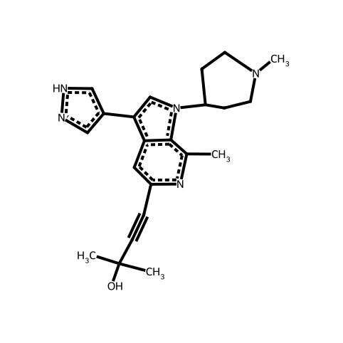 Cc1nc(C#CC(C)(C)O)cc2c(-c3cn[nH]c3)cn(C3CCN(C)CC3)c12